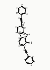 [Li][c]1c(C#Cc2ccccc2)ccc2c1Cc1cc(C#Cc3ccccc3)ccc1-2